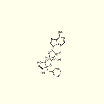 Nc1ncnc2c1ncn2[C@@H]1O[C@@H]2C(OC(Cc3ccccc3)(C(=O)O)C(=O)O)[C@]2(O)[C@@H]1F